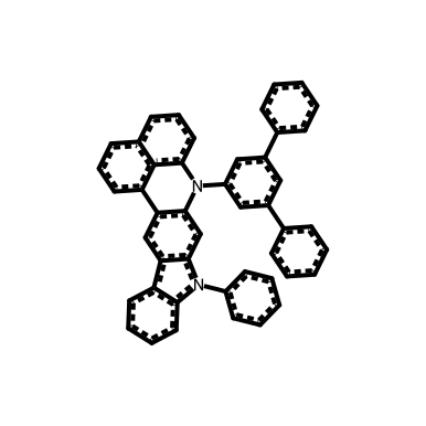 c1ccc(-c2cc(-c3ccccc3)cc(N3c4cc5c(cc4-c4cccc6cccc3c46)c3ccccc3n5-c3ccccc3)c2)cc1